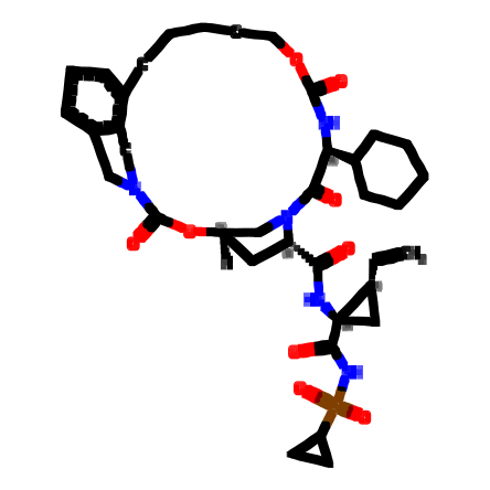 C=C[C@@H]1C[C@]1(NC(=O)[C@@H]1C[C@@H]2CN1C(=O)[C@H](C1CCCCC1)NC(=O)OCCCCCc1cccc3c1CN(C3)C(=O)O2)C(=O)NS(=O)(=O)C1CC1